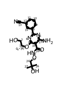 C[C@H](CO)Oc1nc(-c2cccc(C#N)c2)nc(N)c1C(=O)NOCC(C)(C)O